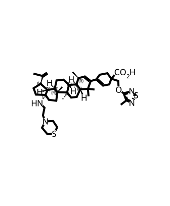 C=C(C)[C@@H]1CC[C@]2(NCCN3CCSCC3)CC[C@]3(C)[C@H](CC[C@@H]4[C@@H]5[C@@H](CC[C@]43C)C(C)(C)C(C3=CCC(COc4nsnc4C)(C(=O)O)CC3)=C[C@@H]5C)[C@@H]12